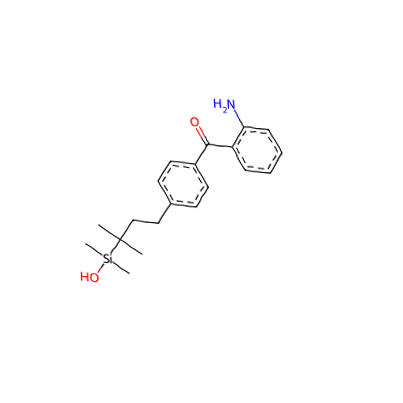 CC(C)(CCc1ccc(C(=O)c2ccccc2N)cc1)[Si](C)(C)O